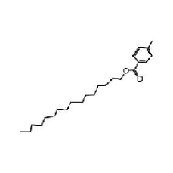 CCCCCCCCCCCCCCCCOC(=O)c1ccc(C)cc1